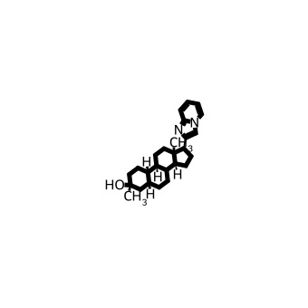 C[C@@]1(O)CC[C@H]2[C@H](CCC3[C@@H]2CC[C@]2(C)[C@@H](c4cn5ccccc5n4)CC[C@@H]32)C1